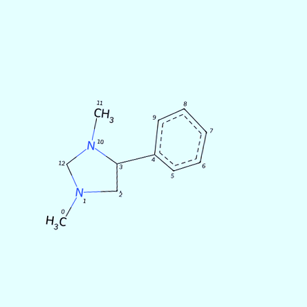 CN1[CH]C(c2ccccc2)N(C)C1